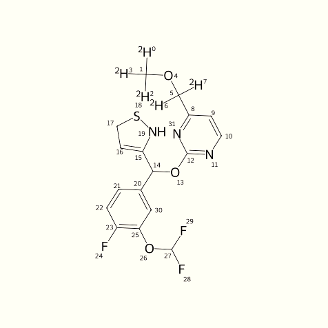 [2H]C([2H])([2H])OC([2H])([2H])c1ccnc(OC(C2=CCSN2)c2ccc(F)c(OC(F)F)c2)n1